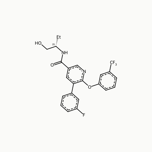 CC[C@@H](CO)NC(=O)c1cnc(Oc2cccc(C(F)(F)F)c2)c(-c2cccc(F)c2)c1